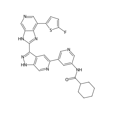 O=C(Nc1cncc(-c2cc3c(-c4nc5c(-c6ccc(F)s6)cncc5[nH]4)n[nH]c3cn2)c1)C1CCCCC1